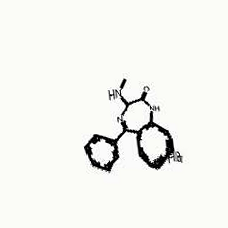 Br.CNC1N=C(c2ccccc2)c2ccccc2NC1=O